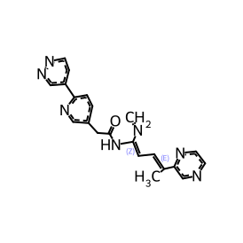 C=N/C(=C\C=C(/C)c1cnccn1)NC(=O)Cc1ccc(-c2ccnnc2)nc1